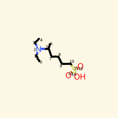 CCN(CC)C(C)CCCCS(=O)(=O)O